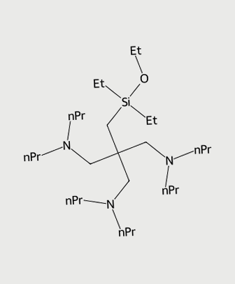 CCCN(CCC)CC(CN(CCC)CCC)(CN(CCC)CCC)C[Si](CC)(CC)OCC